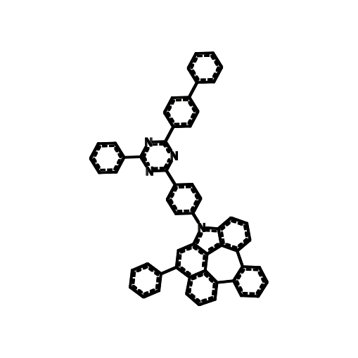 c1ccc(-c2ccc(-c3nc(-c4ccccc4)nc(-c4ccc(-n5c6cccc7c6c6c8c(cccc8c(-c8ccccc8)cc65)-c5ccccc5-7)cc4)n3)cc2)cc1